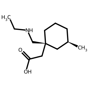 CCNC[C@@]1(CC(=O)O)CCC[C@@H](C)C1